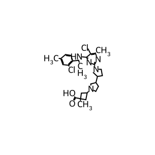 Cc1ccc(C(C)Nc2nc(N3CCC(C4CCN(C5CC(C)(C(=O)O)C5)C4)C3)nc(C)c2Cl)c(Cl)c1